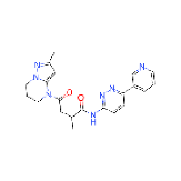 Cc1cc2n(n1)CCCN2C(=O)CC(C)C(=O)Nc1ccc(-c2cccnc2)nn1